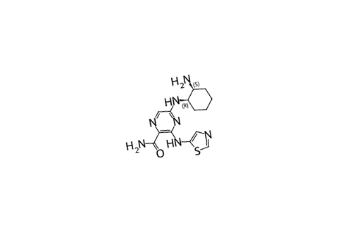 NC(=O)c1ncc(N[C@@H]2CCCC[C@@H]2N)nc1Nc1cncs1